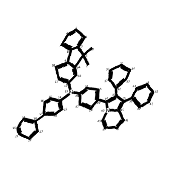 CC1(C)c2ccccc2-c2ccc(N(c3ccc(-c4ccccc4)cc3)c3ccc(-c4c(-c5ccccc5)c(-c5ccccc5)c5ccccn45)cc3)cc21